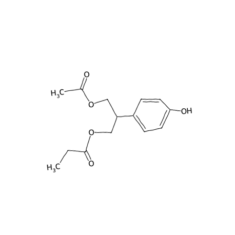 CCC(=O)OCC(COC(C)=O)c1ccc(O)cc1